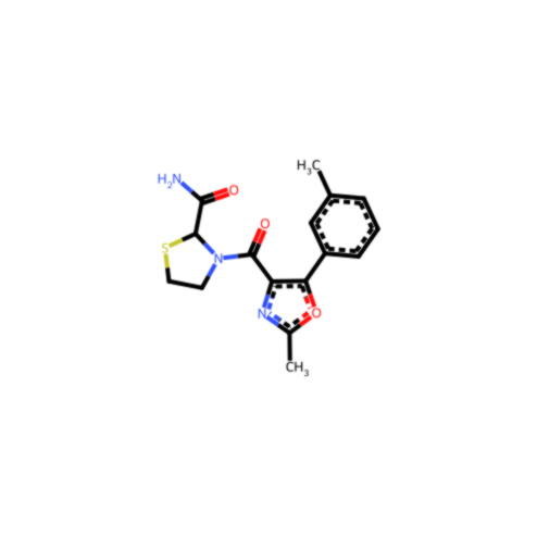 Cc1cccc(-c2oc(C)nc2C(=O)N2CCSC2C(N)=O)c1